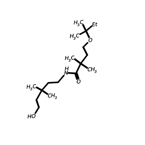 CCC(C)(C)OCCC(C)(C)C(=O)NCCC(C)(C)CCO